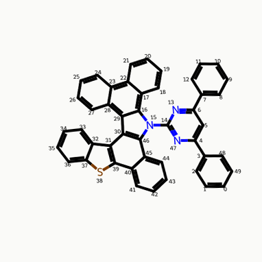 c1ccc(-c2cc(-c3ccccc3)nc(-n3c4c5ccccc5c5ccccc5c4c4c5c6ccccc6sc5c5ccccc5c43)n2)cc1